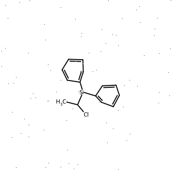 CC(Cl)[Si](c1ccccc1)c1ccccc1